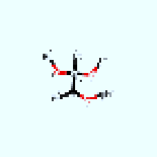 CCCOC(CC)[Si](CC)(OCC)OCC